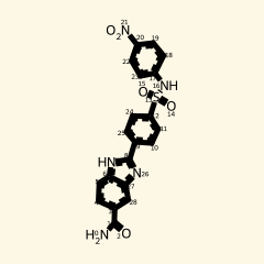 NC(=O)c1ccc2[nH]c(-c3ccc(S(=O)(=O)Nc4ccc([N+](=O)[O-])cc4)cc3)nc2c1